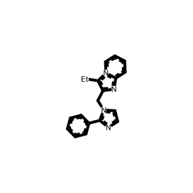 CCc1c(Cn2ccnc2-c2ccccc2)nc2ccccn12